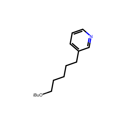 C[C](C)COCCCCCc1cccnc1